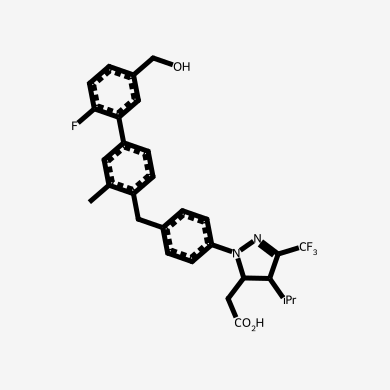 Cc1cc(-c2cc(CO)ccc2F)ccc1Cc1ccc(N2N=C(C(F)(F)F)C(C(C)C)C2CC(=O)O)cc1